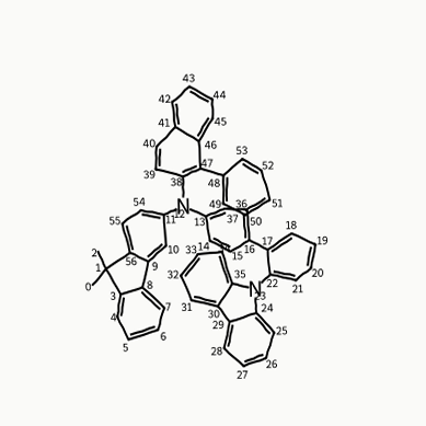 CC1(C)c2ccccc2-c2cc(N(c3ccc(-c4ccccc4-n4c5ccccc5c5ccccc54)cc3)c3ccc4ccccc4c3-c3ccccc3)ccc21